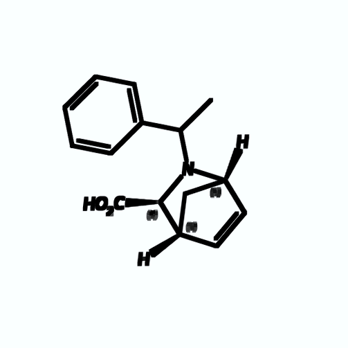 CC(c1ccccc1)N1[C@@H]2C=C[C@@H](C2)[C@H]1C(=O)O